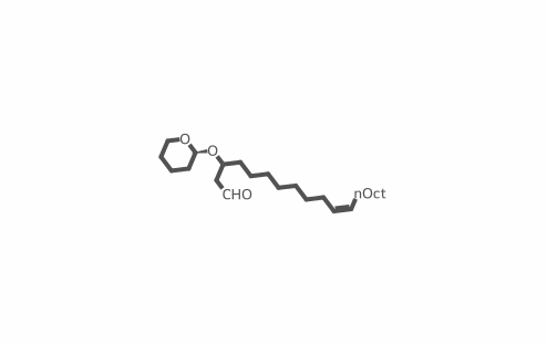 CCCCCCCC/C=C\CCCCCCCC(CC=O)O[C@H]1CCCCO1